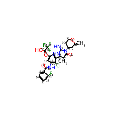 C[C@@H]1C[C@H](N2C(=N)N[C@](C)(c3cccc(NC(=O)c4ccccc4F)c3Cl)CC2=O)CCO1.O=C(O)C(F)(F)F